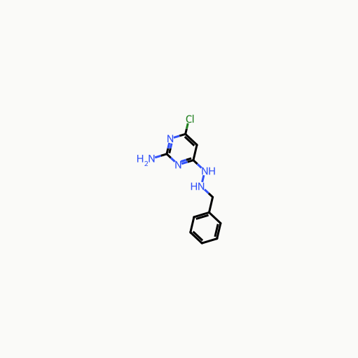 Nc1nc(Cl)cc(NNCc2ccccc2)n1